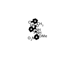 COc1ccc([N+](=O)[O-])cc1NC(=S)NC(C(=O)Nc1c(C)cccc1Cl)c1ccccc1